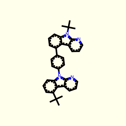 CC(C)(C)c1cccc2c1c1cccnc1n2-c1ccc(-c2cccc3c2c2cccnc2n3C(C)(C)C)cc1